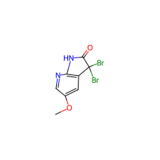 COc1cnc2c(c1)C(Br)(Br)C(=O)N2